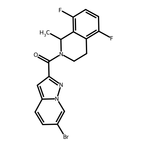 CC1c2c(F)ccc(F)c2CCN1C(=O)c1cc2ccc(Br)cn2n1